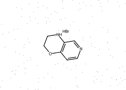 Br.c1cc2c(cn1)NCCO2